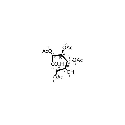 CC(=O)OC[C@@H](O)[C@@H](OC(C)=O)[C@H](OC(C)=O)[C@@H](OC(C)=O)C(=O)O